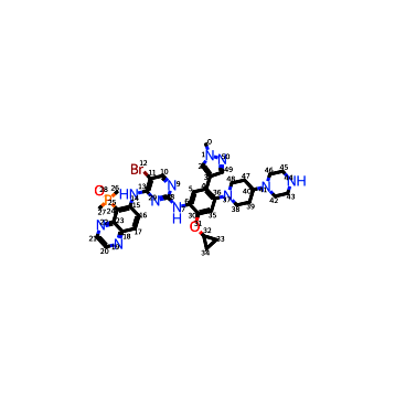 Cn1cc(-c2cc(Nc3ncc(Br)c(Nc4ccc5nccnc5c4P(C)(C)=O)n3)c(OC3CC3)cc2N2CCC(N3CCNCC3)CC2)cn1